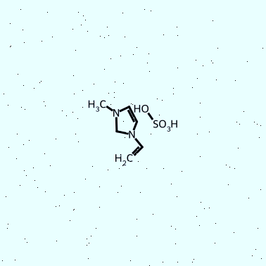 C=CN1C=CN(C)C1.O=S(=O)(O)O